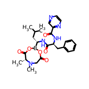 CC(C)C[C@H](NC(=O)[C@H](Cc1ccccc1)NC(=O)c1cnccn1)B1OC(=O)CN(C)[C@H](C)C(=O)O1